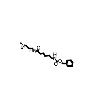 CN(C)CCCNC(=O)CCCCCNC(=O)OCc1ccccc1